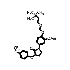 COc1cc(N2CCC(Oc3ccc(OC(F)(F)F)cc3)C2=O)ccc1OCOCC[Si](C)(C)C